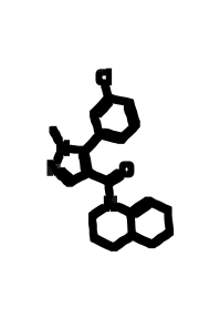 Cn1ncc(C(=O)N2CCCC3CCCC=C32)c1-c1cccc(Cl)c1